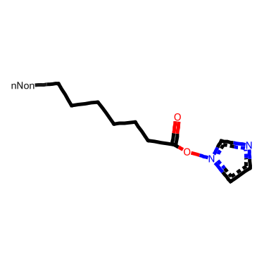 CCCCCCCCCCCCCCCC(=O)On1ccnc1